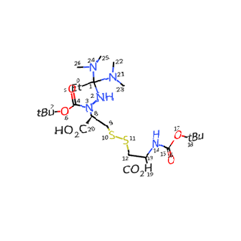 CCC(NN(C(=O)OC(C)(C)C)[C@@H](CSSCC(NC(=O)OC(C)(C)C)C(=O)O)C(=O)O)(N(C)C)N(C)C